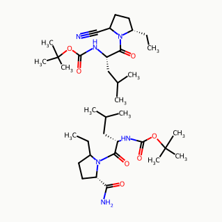 CCC1CC[C@@H](C(N)=O)N1C(=O)[C@H](CC(C)C)NC(=O)OC(C)(C)C.CC[C@H]1CCC(C#N)N1C(=O)[C@H](CC(C)C)NC(=O)OC(C)(C)C